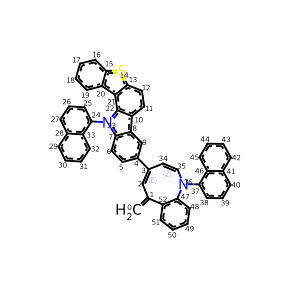 C=C1/C=C(c2ccc3c(c2)c2ccc4sc5ccccc5c4c2n3-c2cccc3ccccc23)\C=C/N(c2cccc3ccccc23)c2ccccc21